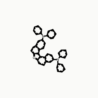 c1ccc(N(c2ccccc2)c2ccc3c(ccc4oc5ccc6cc(N(c7ccccc7)c7ccccc7)ccc6c5c43)c2)cc1